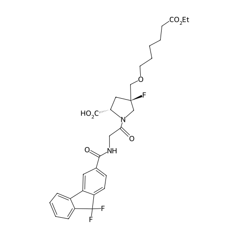 CCOC(=O)CCCCCOC[C@@]1(F)C[C@@H](C(=O)O)N(C(=O)CNC(=O)c2ccc3c(c2)-c2ccccc2C3(F)F)C1